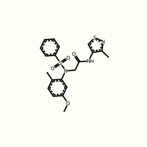 COc1ccc(C)c(N(CC(=O)Nc2csnc2C)S(=O)(=O)c2ccccc2)c1